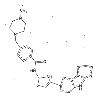 CN1CCN(Cc2ccc(C(=O)NC3NC(c4ccc5[nH]c6ncccc6c5c4)=CS3)cc2)CC1